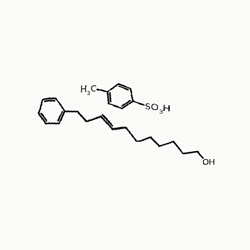 Cc1ccc(S(=O)(=O)O)cc1.OCCCCCCCC=CCCc1ccccc1